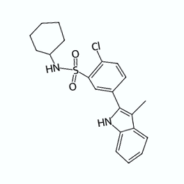 Cc1c(-c2ccc(Cl)c(S(=O)(=O)NC3CCCCC3)c2)[nH]c2ccccc12